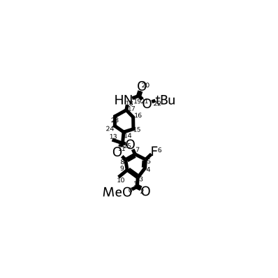 COC(=O)c1cc(F)c2c(c1C)OC(C)(C1CCC(NC(=O)OC(C)(C)C)CC1)O2